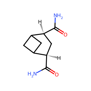 NC(=O)[C@H]1C[C@@H](C(N)=O)C2CC1C2